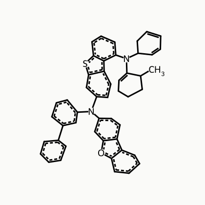 CC1CCCC=C1N(c1cccc2sc3cc(N(c4cccc(-c5ccccc5)c4)c4ccc5c(c4)oc4ccccc45)ccc3c12)C1C=CC=CC1